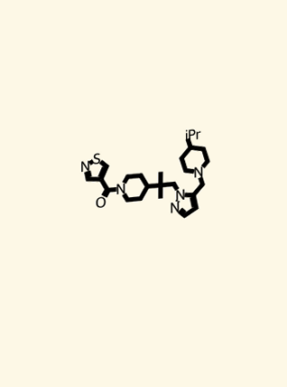 CC(C)C1CCN(Cc2ccnn2CC(C)(C)C2CCN(C(=O)c3cnsc3)CC2)CC1